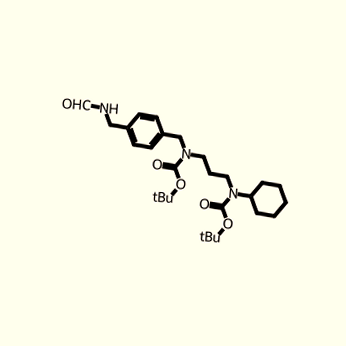 CC(C)(C)OC(=O)N(CCCN(C(=O)OC(C)(C)C)C1CCCCC1)Cc1ccc(CNC=O)cc1